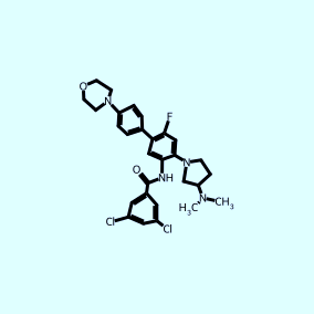 CN(C)C1CCN(c2cc(F)c(-c3ccc(N4CCOCC4)cc3)cc2NC(=O)c2cc(Cl)cc(Cl)c2)C1